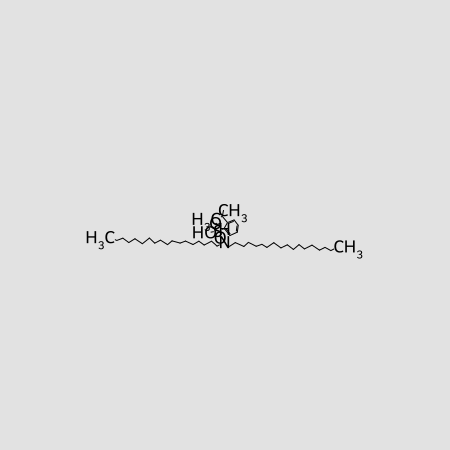 CC(C)c1ccccc1S(=O)(=O)O.CCCCCCCCCCCCCCCCCCNCCCCCCCCCCCCCCCCCC